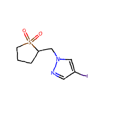 O=S1(=O)CCCC1Cn1cc(I)cn1